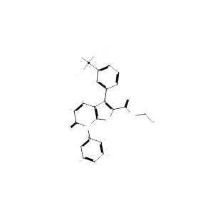 CCOC(=O)c1sc2c(ccc(=O)n2-c2ccccc2)c1-c1cccc(C(F)(F)F)c1